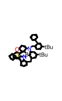 CC(C)(C)c1ccc(CN2c3cc(C(C)(C)C)cc4c3B(c3c2ccc2oc5ccccc5c32)n2c3sc5ccccc5c3c3cccc(c32)C4)c(-c2ccccc2)c1